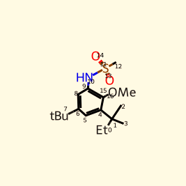 CCC(C)(C)c1cc(C(C)(C)C)cc(NS(C)(=O)=O)c1OC